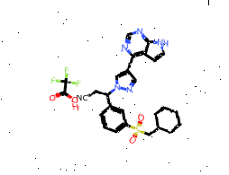 N#CCC(c1cccc(S(=O)(=O)CC2CCCCC2)c1)n1cc(-c2ncnc3[nH]ccc23)cn1.O=C(O)C(F)(F)F